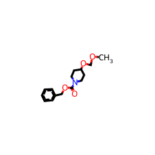 COCOC1CCN(C(=O)OCc2ccccc2)CC1